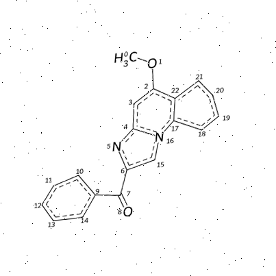 COc1cc2nc(C(=O)c3ccccc3)cn2c2ccccc12